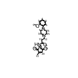 COc1ccccc1N1CCN(CCC(=O)NN2C(=O)C=C(C)C2=O)CC1